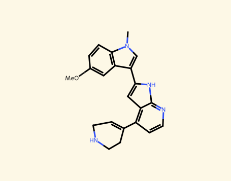 COc1ccc2c(c1)c(-c1cc3c(C4=CCNCC4)ccnc3[nH]1)cn2C